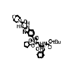 CC(C)(C)OC(=O)N[C@@H](Cc1ccccc1)[C@H](O)CN(OC1CCCC1)S(=O)(=O)c1ccc2[nH]c(NC(=O)N3CCOCC3)nc2c1